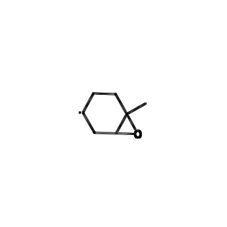 CC12CC[CH]CC1O2